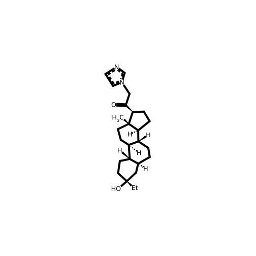 CC[C@@]1(O)CC[C@H]2[C@@H](CC[C@@H]3[C@@H]2CC[C@]2(C)[C@@H](C(=O)Cn4ccnc4)CC[C@@H]32)C1